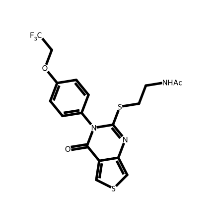 CC(=O)NCCSc1nc2cscc2c(=O)n1-c1ccc(OCC(F)(F)F)cc1